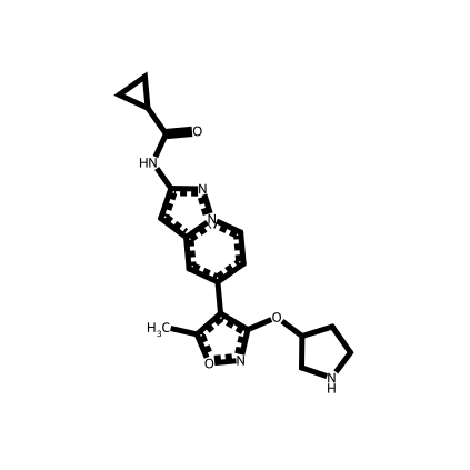 Cc1onc(OC2CCNC2)c1-c1ccn2nc(NC(=O)C3CC3)cc2c1